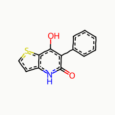 O=c1[nH]c2ccsc2c(O)c1-c1ccccc1